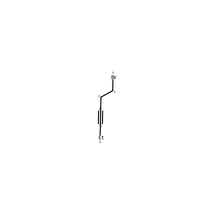 CCC#CCCBr